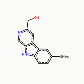 CC(=O)Nc1ccc2[nH]c3cnc(CO)cc3c2c1